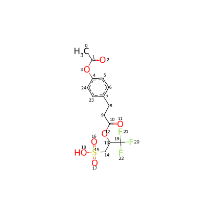 CC(=O)Oc1ccc(CCC(=O)OC(CS(=O)(=O)O)C(F)(F)F)cc1